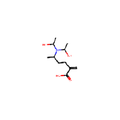 C=C(CCC(C)N(C(C)O)C(C)O)C(=O)O